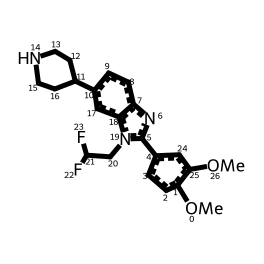 COc1ccc(-c2nc3ccc(C4CCNCC4)cc3n2CC(F)F)cc1OC